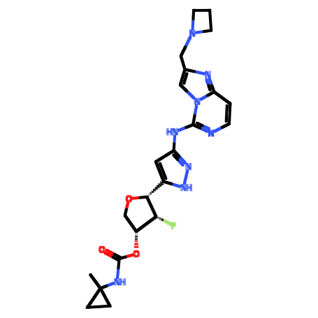 CC1(NC(=O)O[C@@H]2CO[C@H](c3cc(Nc4nccc5nc(CN6CCC6)cn45)n[nH]3)[C@@H]2F)CC1